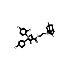 Cc1c(C(=O)NCCNC23CC4C[C@@](C)(C2)C[C@](C)(C4)C3)cn(-c2ccc(Cl)cc2Cl)c1-c1ccc(Cl)cc1